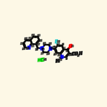 CCn1cc(C(=O)O)c(=O)c2cc(F)c(N3CCN(Cc4cccc5cccnc45)CC3)cc21.Cl